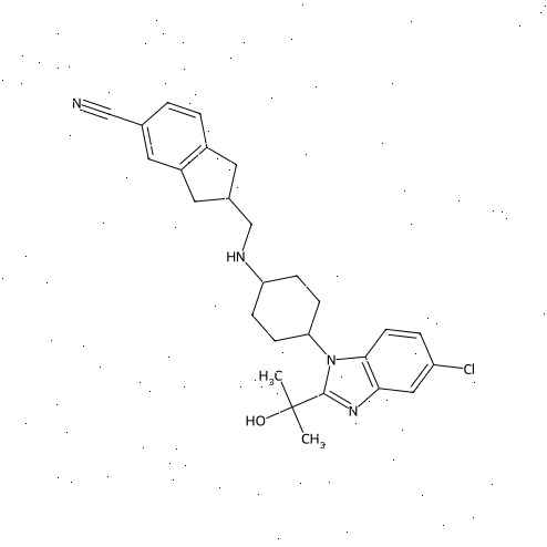 CC(C)(O)c1nc2cc(Cl)ccc2n1C1CCC(NCC2Cc3ccc(C#N)cc3C2)CC1